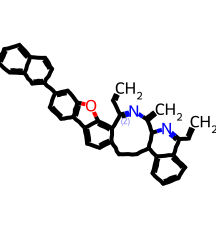 C=CC1=NC2C(=C)/N=C(/C=C)c3c(ccc4c3oc3cc(-c5ccc6ccccc6c5)ccc34)CCC2c2ccccc21